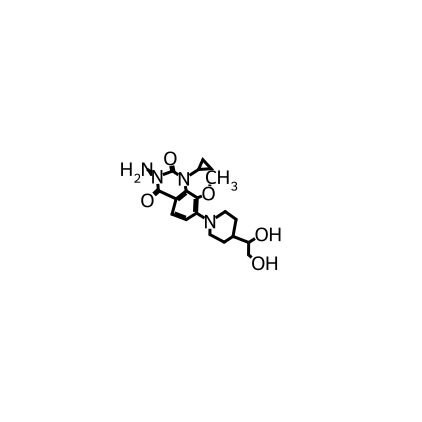 COc1c(N2CCC(C(O)CO)CC2)ccc2c(=O)n(N)c(=O)n(C3CC3)c12